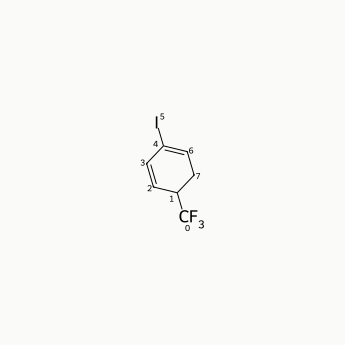 FC(F)(F)C1C=CC(I)=CC1